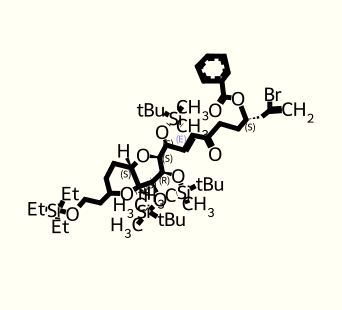 C=C(Br)C[C@H](CCC(=O)/C=C/[C@H](O[Si](C)(C)C(C)(C)C)[C@@H]1O[C@H]2CCC(CCO[Si](CC)(CC)CC)O[C@@H]2[C@H](O[Si](C)(C)C(C)(C)C)[C@@H]1O[Si](C)(C)C(C)(C)C)OC(=O)c1ccccc1